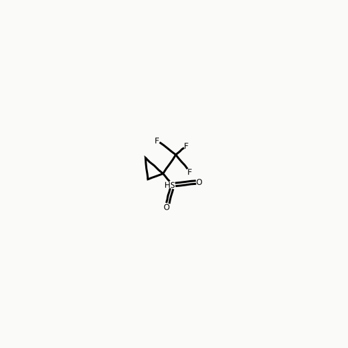 O=[SH](=O)C1(C(F)(F)F)CC1